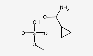 COS(=O)(=O)O.NC(=O)C1CC1